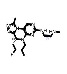 CCCN1c2nc(N/C=C\NC)ncc2-n2c(C)nnc2[C@H]1CCF